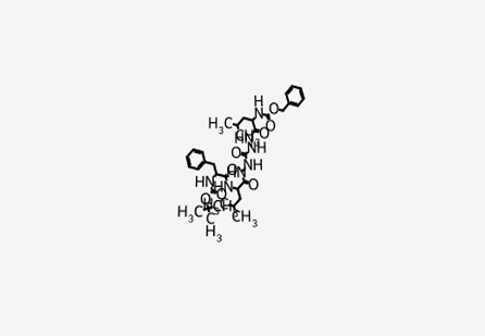 CC(C)CC(NC(=O)OCc1ccccc1)C(=O)NNC(=O)NNC(=O)C(CC(C)C)NC(=O)C(Cc1ccccc1)NC(=O)OC(C)(C)C